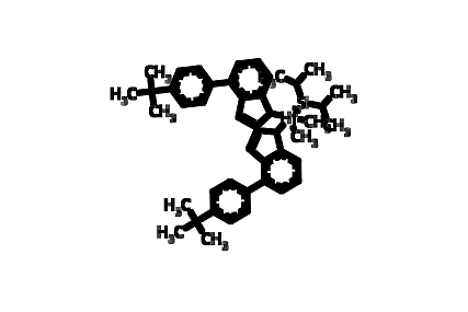 CC(C)[Si](C(C)C)=[Hf]([CH3])([CH3])([CH]1C=Cc2c(-c3ccc(C(C)(C)C)cc3)cccc21)[CH]1C=Cc2c(-c3ccc(C(C)(C)C)cc3)cccc21